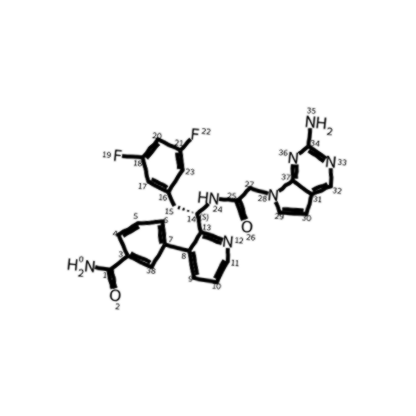 NC(=O)c1cccc(-c2cccnc2[C@H](Cc2cc(F)cc(F)c2)NC(=O)Cn2ccc3cnc(N)nc32)c1